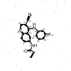 C=CC(=O)Nc1ccc2ncc(C#N)c(Nc3cccc(F)c3)c2c1